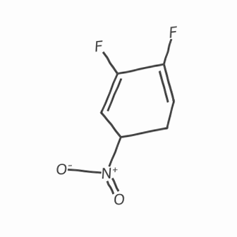 O=[N+]([O-])C1C=C(F)C(F)=CC1